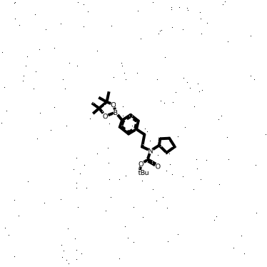 CC(C)(C)OC(=O)N(CCc1ccc(B2OC(C)(C)C(C)(C)O2)cc1)C1CCCC1